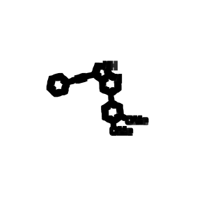 COc1ccc(-c2cnc3[nH]cc(C#Cc4ccccc4)c3c2)cc1OC